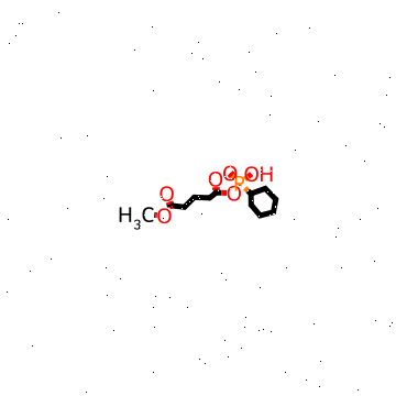 COC(=O)CCCC(=O)OP(=O)(O)C1CCCCC1